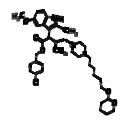 COc1ccc2[nH]c(C)c(C(C(=O)OCc3ccc(Cl)cc3)C(C)CN3CCN(CCCCCCOC4CCCCO4)CC3)c2c1